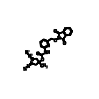 CC(CN=[N+]=[N-])(CN=[N+]=[N-])OC(=O)Nc1cccc(CON2C(=O)c3ccccc3C2=O)n1